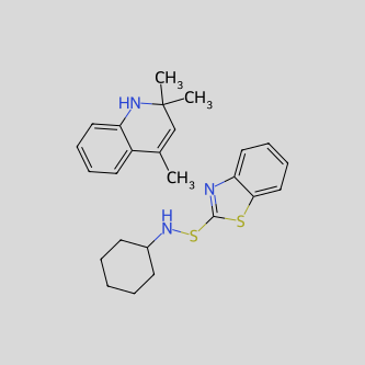 CC1=CC(C)(C)Nc2ccccc21.c1ccc2sc(SNC3CCCCC3)nc2c1